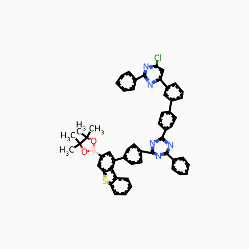 CC1(C)OB(c2cc(-c3ccc(-c4nc(-c5ccccc5)nc(-c5ccc(-c6cccc(-c7cc(Cl)nc(-c8ccccc8)n7)c6)cc5)n4)cc3)c3c(c2)sc2ccccc23)OC1(C)C